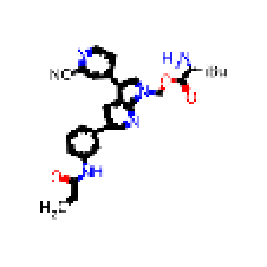 C=CC(=O)Nc1cccc(-c2cnc3c(c2)c(-c2ccnc(C#N)c2)cn3COC(=O)[C@@H](N)[C@@H](C)CC)c1